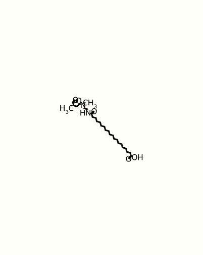 CC(C=O)CC(=O)N(C)CCNC(=O)CCCCCCCCCCCCCCCCCCC(=O)O